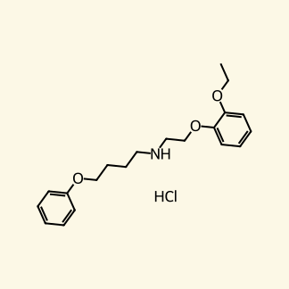 CCOc1ccccc1OCCNCCCCOc1ccccc1.Cl